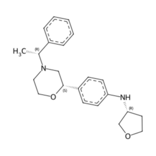 C[C@H](c1ccccc1)N1CCO[C@@H](c2ccc(N[C@@H]3CCOC3)cc2)C1